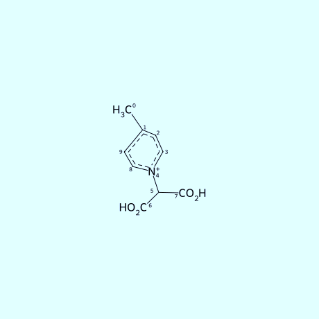 Cc1cc[n+](C(C(=O)O)C(=O)O)cc1